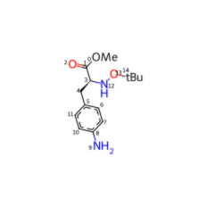 COC(=O)[C@H](Cc1ccc(N)cc1)NOC(C)(C)C